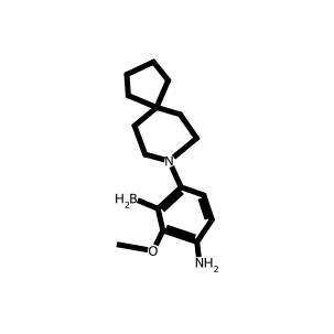 Bc1c(N2CCC3(CCCC3)CC2)ccc(N)c1OC